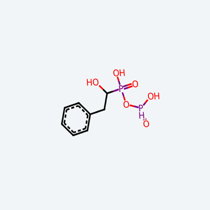 O=[PH](O)OP(=O)(O)C(O)Cc1ccccc1